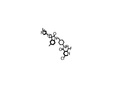 Cc1ccc2c(c1)C1(CN(c3cnn(C)c3)C1)C(=O)N2CC1CCC(NC(=O)c2cc(Cl)cnc2C(F)F)CC1